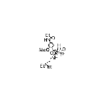 CCC(=O)Nc1ccc(-c2nnc(NCCCN(CC)CC)o2)c(OC)c1.O=C(O)C(F)(F)F